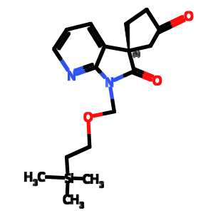 C[Si](C)(C)CCOCN1C(=O)[C@]2(CCC(=O)C2)c2cccnc21